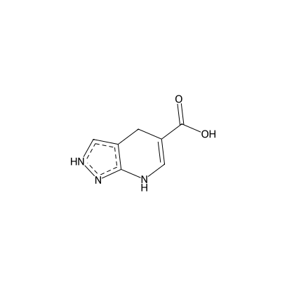 O=C(O)C1=CNc2n[nH]cc2C1